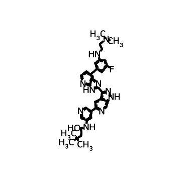 CN(C)CCNc1cc(F)cc(-c2ccnc3[nH]c(-c4n[nH]c5cnc(-c6cncc(NC(O)CC(C)(C)C)c6)cc45)nc23)c1